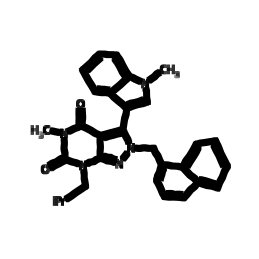 CC(C)Cn1c(=O)n(C)c(=O)c2c(-c3cn(C)c4ccccc34)n(Cc3cccc4ccccc34)nc21